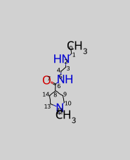 CCNCCNC(=O)C1CCN(C)CC1